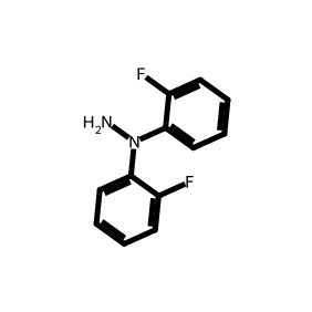 NN(c1ccccc1F)c1ccccc1F